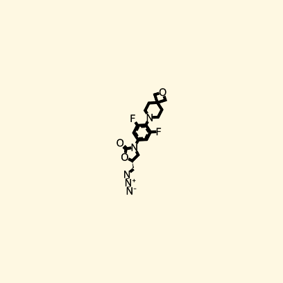 [N-]=[N+]=NC[C@H]1CN(c2cc(F)c(N3CCC4(CC3)COC4)c(F)c2)C(=O)O1